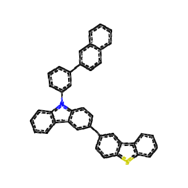 c1cc(-c2ccc3ccccc3c2)cc(-n2c3ccccc3c3cc(-c4ccc5sc6ccccc6c5c4)ccc32)c1